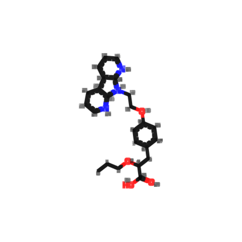 CCCOC(Cc1ccc(OCCn2c3ncccc3c3cccnc32)cc1)C(=O)O